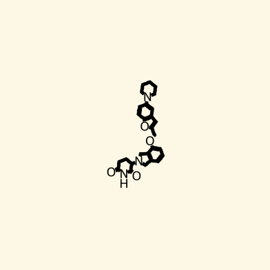 O=C1CCC(N2Cc3cccc(OCc4cc5cc(N6CCCCC6)ccc5o4)c3C2)C(=O)N1